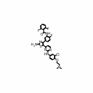 CN(C)CCOc1ccc(Nc2nccc(-c3sc(N)nc3-c3ccc(F)c(NC(=O)c4c(F)cccc4F)c3)n2)cc1Cl